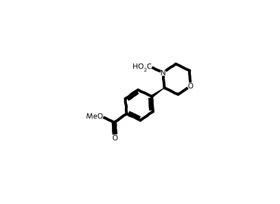 COC(=O)c1ccc([C@@H]2COCCN2C(=O)O)cc1